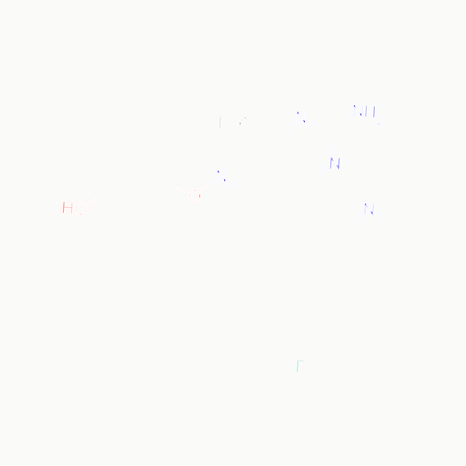 Cc1nc(N)nc2c1C(=NOCCCO)CC(c1ccc(F)cc1-c1cccnc1)C2